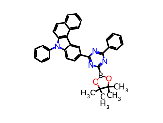 CC1(C)OB(c2nc(-c3ccccc3)nc(-c3ccc4c(c3)c3c5ccccc5ccc3n4-c3ccccc3)n2)OC1(C)C